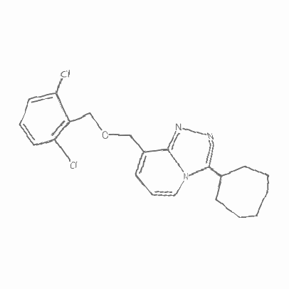 Clc1cccc(Cl)c1COCc1cccn2c(C3CCCCCC3)nnc12